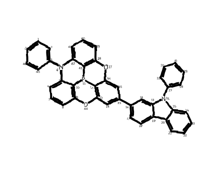 c1ccc(N2c3cccc4c3P3c5c(cc(-c6ccc7c8ccccc8n(-c8ccccc8)c7c6)cc5Oc5cccc2c53)O4)cc1